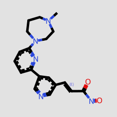 CN1CCCN(c2cccc(-c3cncc(/C=C/C(=O)N=O)c3)n2)CC1